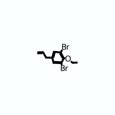 C=CCc1cc(Br)c(OCC)c(Br)c1